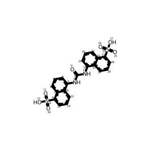 O=C(Nc1cccc2c(S(=O)(=O)O)cccc12)Nc1cccc2c(S(=O)(=O)O)cccc12